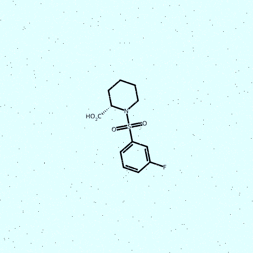 O=C(O)[C@@H]1CCCCN1S(=O)(=O)c1cccc(F)c1